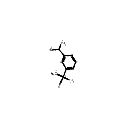 CC(O)c1cccc(C(C)(C)F)c1